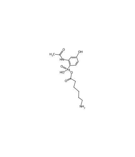 CC(=O)Nc1cc(O)ccc1[As](=O)(O)OC(=O)CCCCCN